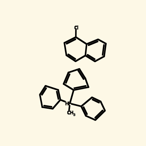 C[PH](c1ccccc1)(c1ccccc1)c1ccccc1.Clc1cccc2ccccc12